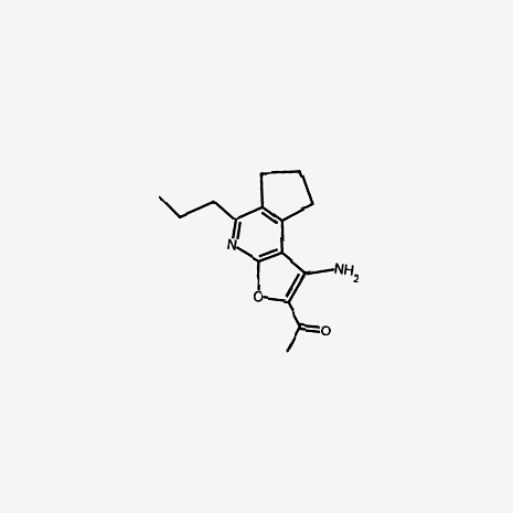 CCCc1nc2oc(C(C)=O)c(N)c2c2c1CCC2